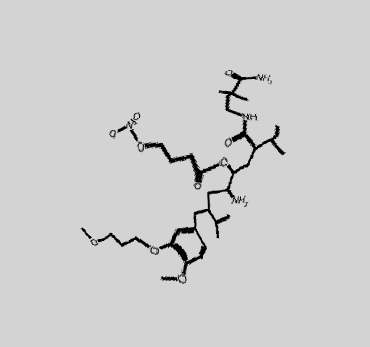 COCCCOc1cc(CC(CC(N)C(CC(C(=O)NCC(C)(C)C(N)=O)C(C)C)OC(=O)CCCO[N+](=O)[O-])C(C)C)ccc1OC